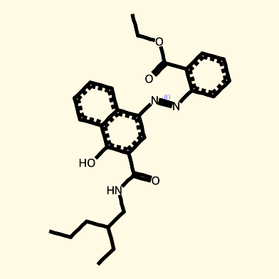 CCCC(CC)CNC(=O)c1cc(/N=N/c2ccccc2C(=O)OCC)c2ccccc2c1O